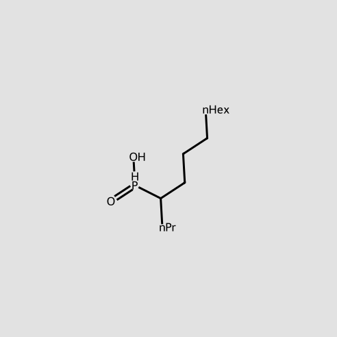 CCCCCCCCCC(CCC)[PH](=O)O